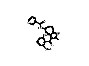 COc1cccc(OC)c1C(=O)c1c(C)[nH]c2ccc(NC(=O)c3cccnc3)cc12